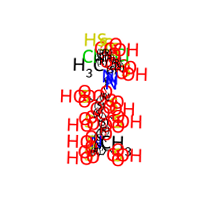 CC1O[C@H](O[C@H]2CC(OS(=O)(=O)O)[C@@H](O[C@H]3CC(OS(=O)(=O)O)[C@H](OCc4cn(C[C@@H]5C[C@H](OS(=O)(=O)O)[C@](CCl)(O[C@H]6O[C@H](C)[C@H](Cl)[C@H](OS(=S)S)[C@H]6OS(=O)(=O)O)O5)nn4)OC3COS(=O)(=O)O)OC2COS(=O)(=O)O)CC[C@@H]1N([C@H]1C=C(COS(=O)(=O)O)CC[C@H]1OS(=O)(=O)O)S(=O)(=O)O